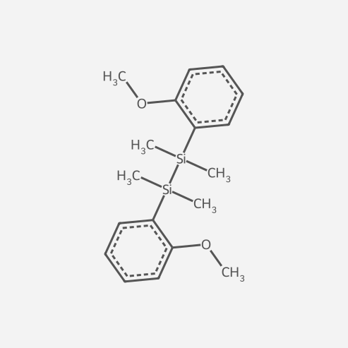 COc1ccccc1[Si](C)(C)[Si](C)(C)c1ccccc1OC